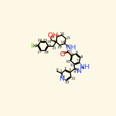 Cc1cc(-c2n[nH]c3ccc(C(=O)NC4CCCC(CO)(Cc5ccc(F)cc5)C4)cc23)ccn1